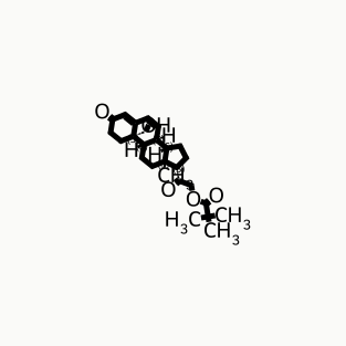 CC(C)(C)C(=O)OCC(=O)[C@H]1CC[C@H]2[C@@H]3C=CC4=CC(=O)CC[C@]4(CO)[C@H]3CC[C@]12C